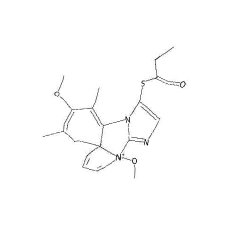 CCC(=O)Sc1cnc2n1C1=C(C)C(OC)=C(C)CC13C=CC=C[N+]23OC